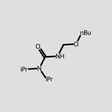 CCCCOCNC(=O)N(C(C)C)C(C)C